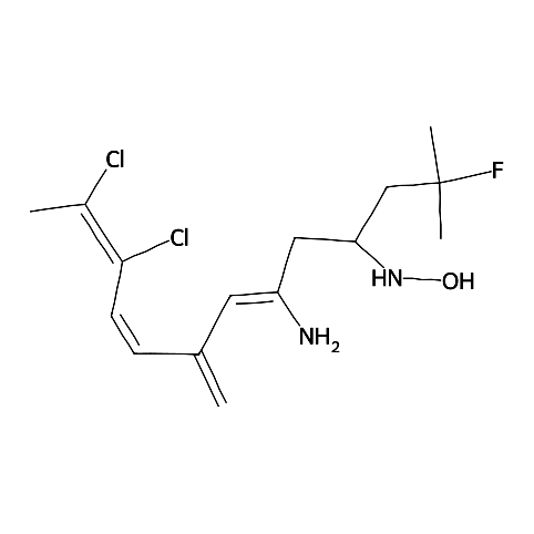 C=C(/C=C\C(Cl)=C(/C)Cl)/C=C(\N)CC(CC(C)(C)F)NO